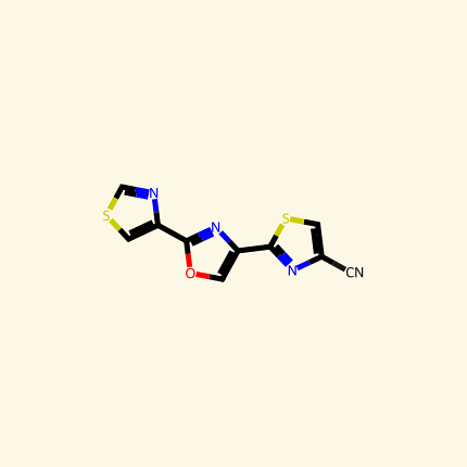 N#Cc1csc(-c2coc(-c3cscn3)n2)n1